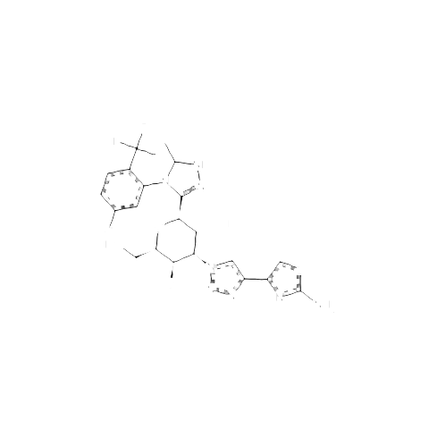 CC1NN=C([C@@H]2O[C@H](CO)[C@H](O)[C@H](n3cc(-c4csc(N)n4)nn3)[C@H]2O)N1c1cc(Cl)ccc1C(F)(F)F